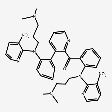 CN(C)CCCN(c1ccccc1C(=O)c1ncccc1-c1ccccc1N(CCCN(C)C)c1ncccc1[N+](=O)[O-])c1ncccc1[N+](=O)[O-]